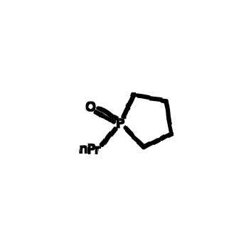 CCCP1(=O)CCCC1